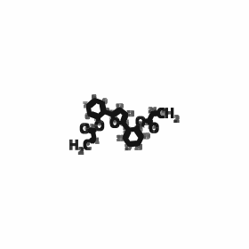 C=CC(=O)Oc1ccccc1-c1ccc(-c2ccccc2OC(=O)C=C)o1